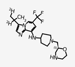 [2H]CC([2H])(C)c1cnc2c(NC3CCN(C[C@@H]4CNCCO4)CC3)cc(C(F)(F)F)cn12